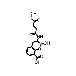 CNC(=O)CCC(=O)NC1Cc2cccc(C(=O)O)c2OB1O